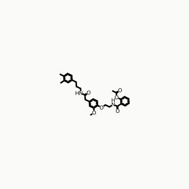 COc1cc(CC(=O)NCCCc2ccc(C)c(C)c2)ccc1OCCNC(=O)c1ccccc1OC(C)=O